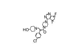 C[C@@H]1C[C@@H](F)c2ncnc(N3CCN(C(=O)[C@H](CN4CCC(O)CC4)c4ccc(Cl)cc4)CC3)c21